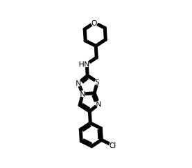 Clc1cccc(-c2cn3nc(NCC4CCOCC4)sc3n2)c1